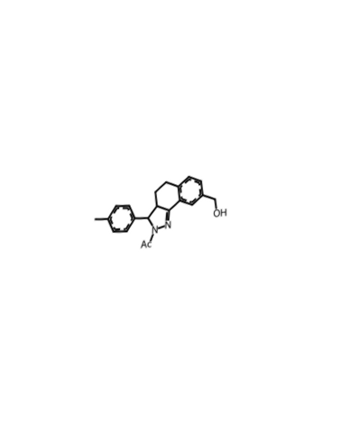 CC(=O)N1N=C2c3cc(CO)ccc3CCC2C1c1ccc(C)cc1